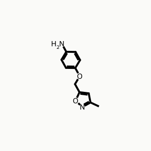 Cc1cc(COc2ccc(N)cc2)on1